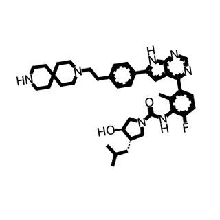 Cc1c(-c2ncnc3[nH]c(-c4ccc(CCN5CCC6(CCNCC6)CC5)cc4)cc23)ccc(F)c1NC(=O)N1C[C@H](CC(C)C)[C@@H](O)C1